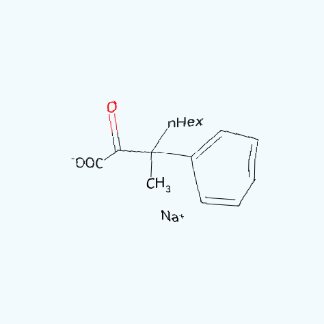 CCCCCCC(C)(C(=O)C(=O)[O-])c1ccccc1.[Na+]